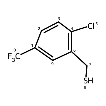 FC(F)(F)c1ccc(Cl)c(CS)c1